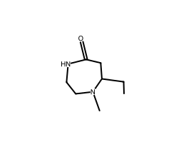 CCC1CC(=O)NCCN1C